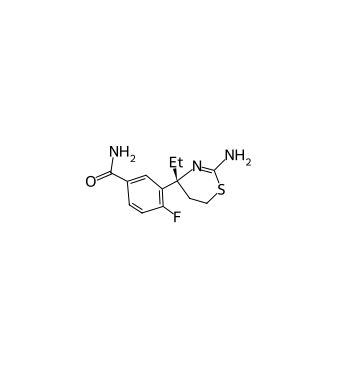 CC[C@]1(c2cc(C(N)=O)ccc2F)CCSC(N)=N1